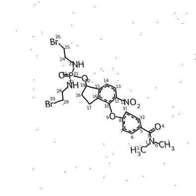 CN(C)C(=O)c1ccc(Oc2c([N+](=O)[O-])ccc3c2CCC3OP(=O)(NCCBr)NCCBr)cc1